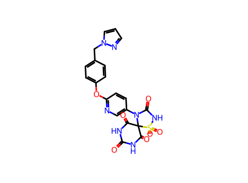 O=C1NC(=O)C2(C(=O)N1)N(c1ccc(Oc3ccc(Cn4cccn4)cc3)nc1)C(=O)NS2(=O)=O